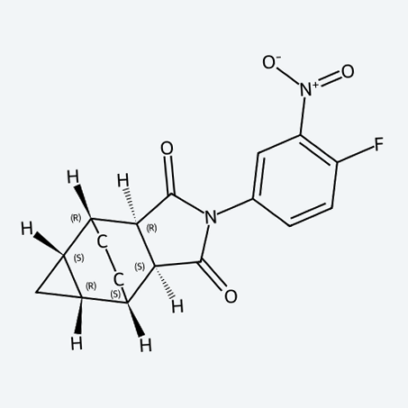 O=C1[C@@H]2[C@@H]3CC[C@@H]([C@@H]4C[C@@H]43)[C@@H]2C(=O)N1c1ccc(F)c([N+](=O)[O-])c1